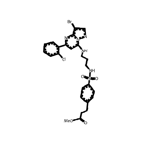 COC(=O)CCc1ccc(S(=O)(=O)NCCCNc2cc(-c3ccccc3Cl)nc3c(Br)cnn23)cc1